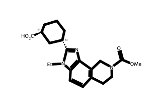 CCn1c([C@H]2CCC[C@H](C(=O)O)C2)nc2c3c(ccc21)CCN(C(=O)OC)C3